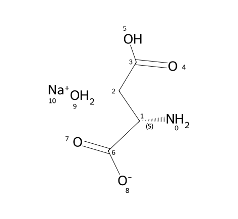 N[C@@H](CC(=O)O)C(=O)[O-].O.[Na+]